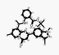 Cc1cc(C(C)Nc2ccccc2C(=O)OC(C)(C)C)c2nc(-c3ccc4c(c3)c(C)nn4C)cc(=O)n2c1